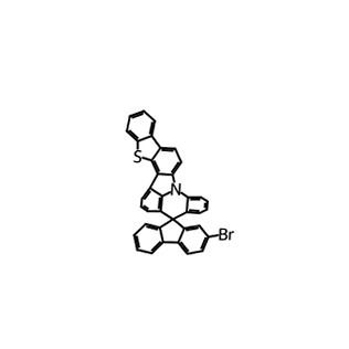 Brc1ccc2c(c1)C1(c3ccccc3-2)c2ccccc2-n2c3ccc4c5ccccc5sc4c3c3cccc1c32